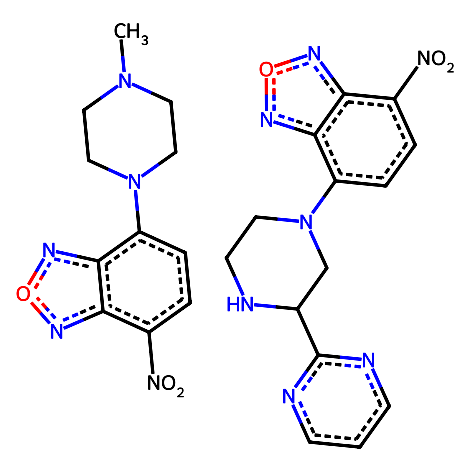 CN1CCN(c2ccc([N+](=O)[O-])c3nonc23)CC1.O=[N+]([O-])c1ccc(N2CCNC(c3ncccn3)C2)c2nonc12